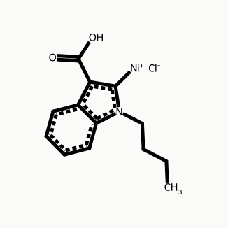 CCCCn1[c]([Ni+])c(C(=O)O)c2ccccc21.[Cl-]